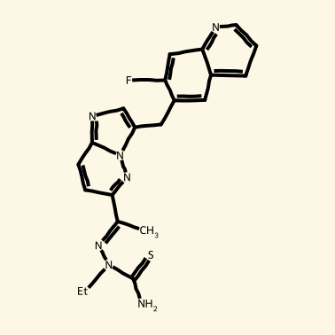 CCN(/N=C(\C)c1ccc2ncc(Cc3cc4cccnc4cc3F)n2n1)C(N)=S